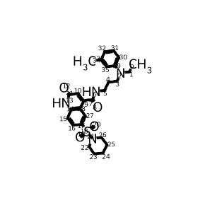 CCN(CCCNC(=O)c1cc(=O)[nH]c2ccc(S(=O)(=O)N3CCCCC3)cc12)c1cccc(C)c1